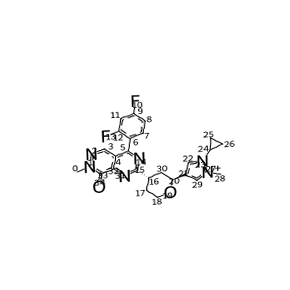 Cn1ncc2c(-c3ccc(F)cc3F)nc([C@H]3CCO[C@H](c4cn(C5CC5)[n+](C)c4)C3)nc2c1=O